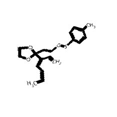 C=C/C(=C\C=C/C)C1(CCOSc2ccc(C)cc2)OCCO1